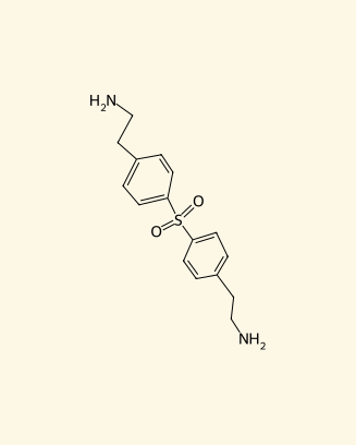 NCCc1ccc(S(=O)(=O)c2ccc(CCN)cc2)cc1